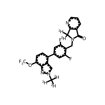 [2H]C1([2H])c2ncccc2C(=O)N1Cc1c(F)cc(-c2ccc(OC(F)(F)F)c3nn(C([2H])([2H])[2H])cc23)cc1F